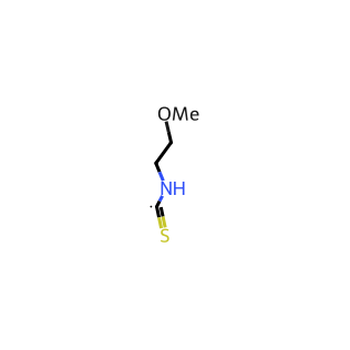 COCCN[C]=S